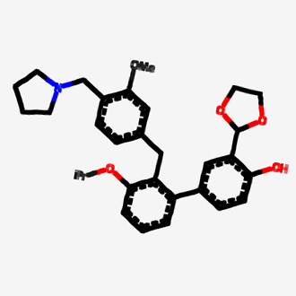 COc1cc(Cc2c(OC(C)C)cccc2-c2ccc(O)c(C3OCCO3)c2)ccc1CN1CCCC1